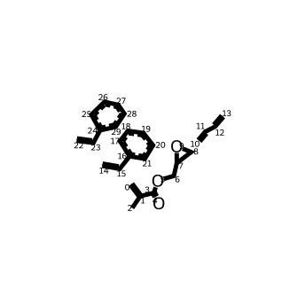 C=C(C)C(=O)OCC1CO1.C=CC=C.C=Cc1ccccc1.C=Cc1ccccc1